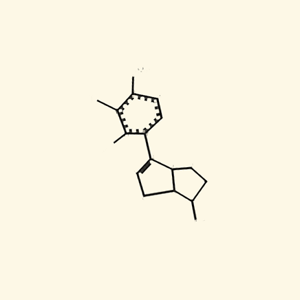 CCCC1CCC2C(c3ccc(OC)c(F)c3F)=CCC12